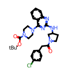 CC(C)(C)OC(=O)N1CCN(c2nc(NC3CCN(C(=O)Cc4ccc(Cl)cc4)C3)nc3ccccc23)CC1